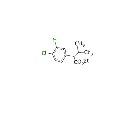 CCOC(=O)C(c1ccc(Cl)c(F)c1)C(C)C(F)(F)F